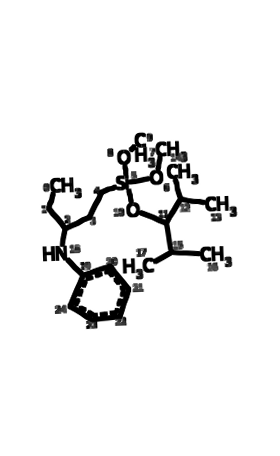 CCC(CC[Si](OC)(OC)OC(C(C)C)C(C)C)Nc1ccccc1